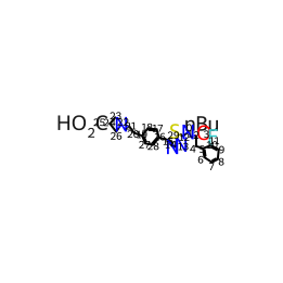 CCCCN(C(=O)Cc1ccccc1F)c1nnc(-c2ccc(CCN3CC(C(=O)O)C3)cc2)s1